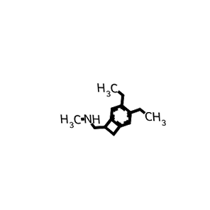 CCc1cc2c(cc1CC)C(CNC)C2